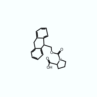 O=C(O)C1CCCN1C(=O)OCC1c2ccccc2Cc2ccccc21